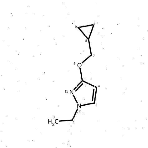 CCn1ccc(OCC2CC2)n1